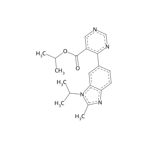 Cc1nc2ccc(-c3ncncc3C(=O)OC(C)C)cc2n1C(C)C